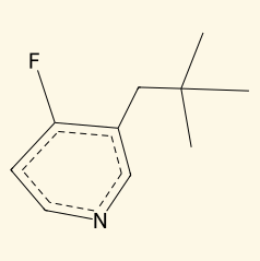 CC(C)(C)Cc1cnccc1F